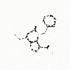 CCc1cc(=O)n(Cc2ccccc2)c2c(C(=O)O)csc12